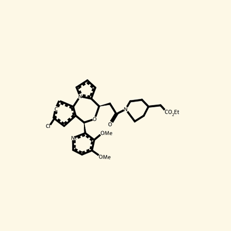 CCOC(=O)CC1CCN(C(=O)C[C@H]2O[C@@H](c3nccc(OC)c3OC)c3cc(Cl)ccc3-n3cccc32)CC1